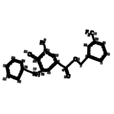 CCn1nc(C(=O)OCc2cccc(C(F)(F)F)c2)cc(Nc2cccnc2)c1=O